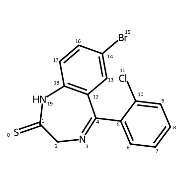 S=C1CN=C(c2ccccc2Cl)c2cc(Br)ccc2N1